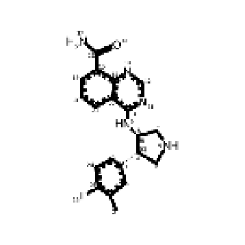 Cc1cc([C@H]2CNC[C@@H]2Nc2ncnc3c(C(N)=O)cccc23)ccc1F